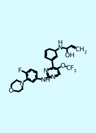 C=CC(O)NC1C=C(c2nc(Nc3ccc(F)c(N4CCOCC4)c3)ncc2OC(F)(F)F)C=CC1